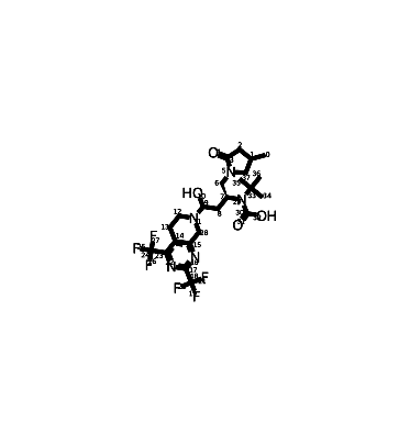 CC1CC(=O)N(C[C@H](CC(O)N2CCc3c(nc(C(F)(F)F)nc3C(F)(F)F)C2)N(C(=O)O)C(C)(C)C)C1